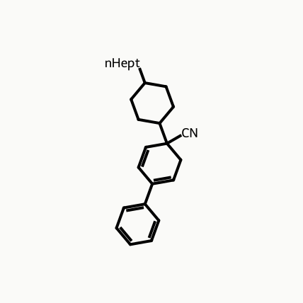 CCCCCCCC1CCC(C2(C#N)C=CC(c3ccccc3)=CC2)CC1